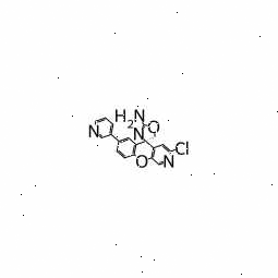 NC1=N[C@]2(CO1)c1cc(-c3cccnc3)ccc1Oc1cnc(Cl)cc12